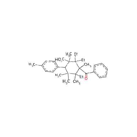 CCC1(C)C(C)(C)C(c2ccc(C)cc2)C(C)(C(=O)O)C(CC)(CC)C1(C)C(=O)c1ccccc1